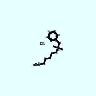 CCCCCCCCCCCCCCC[N+](C)(C)Cc1ccccc1.[Cl-]